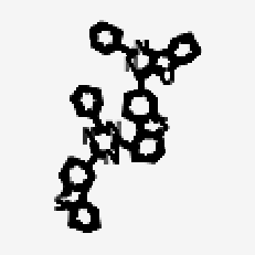 c1ccc(-c2nc(-c3ccc4sc5ccccc5c4c3)nc(-c3cccc4sc5cc(-c6nc(-c7ccccc7)nc7c6oc6ccccc67)ccc5c34)n2)cc1